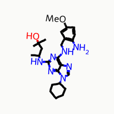 COc1ccc(N)c(CNc2nc(NC(C)CC(C)(C)O)nc3c2ncn3C2CCCCC2)c1